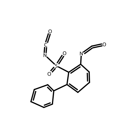 O=C=Nc1cccc(-c2ccccc2)c1S(=O)(=O)N=C=O